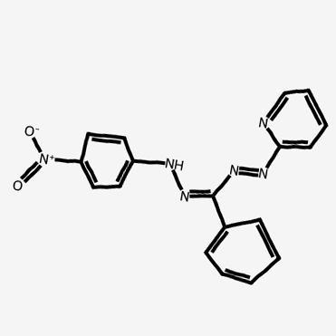 O=[N+]([O-])c1ccc(NN=C(N=Nc2ccccn2)c2ccccc2)cc1